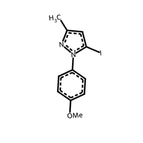 COc1ccc(-n2nc(C)cc2I)cc1